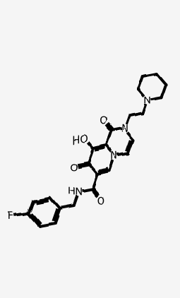 O=C(NCc1ccc(F)cc1)c1cn2ccn(CCN3CCCCC3)c(=O)c2c(O)c1=O